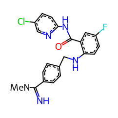 CNC(=N)c1ccc(CNc2ccc(F)cc2C(=O)Nc2ccc(Cl)cn2)cc1